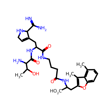 Cc1cccc2oc(CC(NC(=O)CCCNC(=O)C(CC3=CCNC3C(=N)N)NC(=O)C(N)C(C)O)C(=O)O)c(C)c12